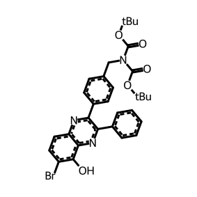 CC(C)(C)OC(=O)N(Cc1ccc(-c2nc3ccc(Br)c(O)c3nc2-c2ccccc2)cc1)C(=O)OC(C)(C)C